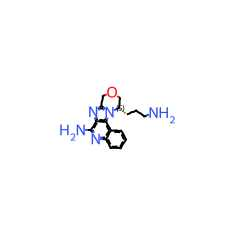 NCCC[C@H]1COCc2nc3c(N)nc4ccccc4c3n21